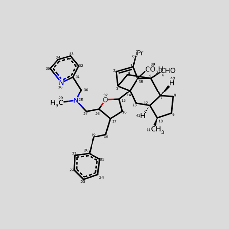 CC(C)C1=CC2CC3(C=O)[C@@H]4CC[C@@H](C)[C@H]4CC2(C2CC(CCc4ccccc4)C(CN(C)Cc4ccccn4)O2)C13C(=O)O